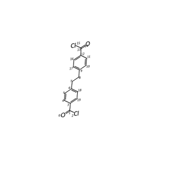 O=C(Cl)c1ccc(CCc2ccc(C(=O)Cl)cc2)cc1